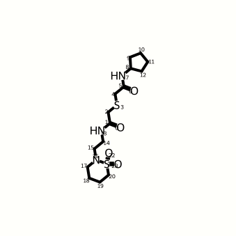 O=C(CSCC(=O)NC1CCCC1)NCCN1CCCCS1(=O)=O